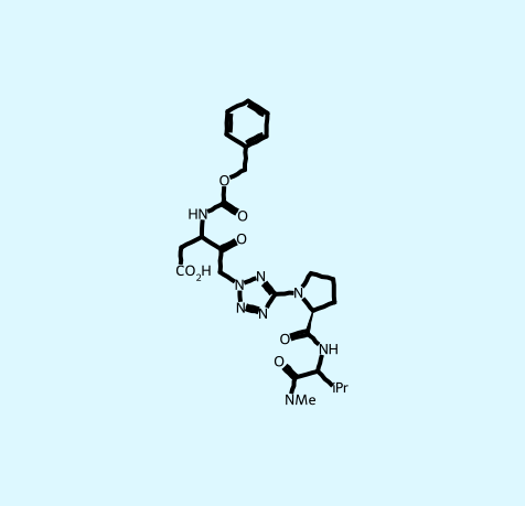 CNC(=O)C(NC(=O)[C@@H]1CCCN1c1nnn(CC(=O)C(CC(=O)O)NC(=O)OCc2ccccc2)n1)C(C)C